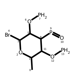 CC1OC(Br)C(OP)C(P=O)C1OP